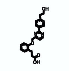 O=C(O)CCc1ccccc1OCc1ccnc(-c2ccc(CCO)cc2)n1